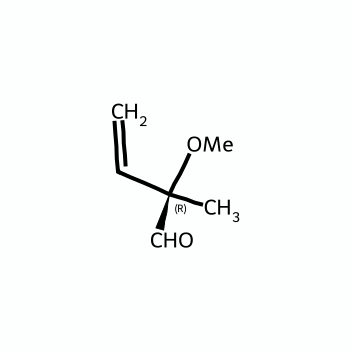 C=C[C@](C)(C=O)OC